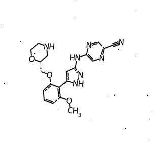 COc1cccc(OC[C@H]2CNCCO2)c1-c1cc(Nc2cnc(C#N)cn2)n[nH]1